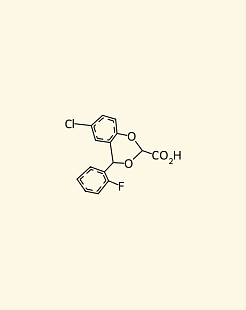 O=C(O)C1Oc2ccc(Cl)cc2C(c2ccccc2F)O1